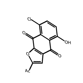 CC(=O)c1cc2c(o1)C(=O)c1c(Cl)ccc(O)c1C2=O